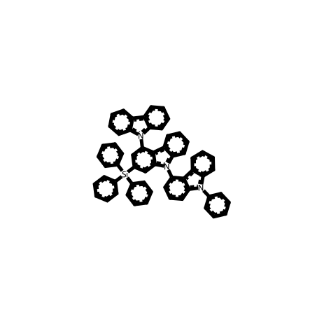 c1ccc(-n2c3ccccc3c3c(-n4c5ccccc5c5c(-n6c7ccccc7c7ccccc76)cc([Si](c6ccccc6)(c6ccccc6)c6ccccc6)cc54)cccc32)cc1